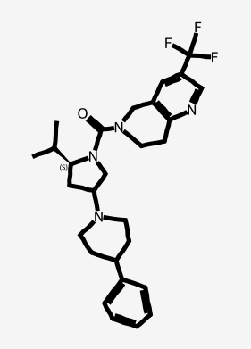 CC(C)[C@@H]1CC(N2CCC(c3ccccc3)CC2)CN1C(=O)N1CCc2ncc(C(F)(F)F)cc2C1